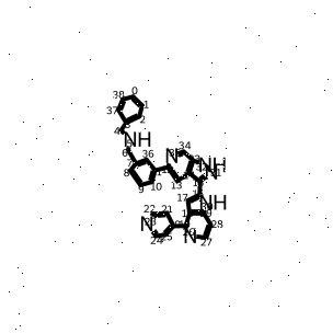 c1ccc(CNCc2cccc(-c3cc4c(-c5cc6c(-c7ccncc7)nccc6[nH]5)n[nH]c4cn3)c2)cc1